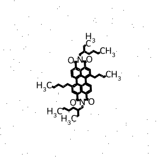 CCCCCc1cc2c3c(ccc4c5c(CCCC)cc6c7c(ccc(c1c34)c75)C(=O)N(CC(CC)CCCC)C6=O)C(=O)N(CC(CC)CCCC)C2=O